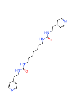 O=C(NCCCCCCCNC(=O)NCCc1ccncc1)NCCc1ccncc1